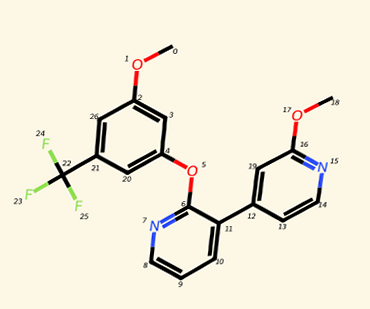 COc1cc(Oc2ncccc2-c2ccnc(OC)c2)cc(C(F)(F)F)c1